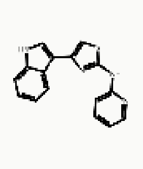 c1ccc(Nc2nc(-c3c[nH]c4ccccc34)cs2)nc1